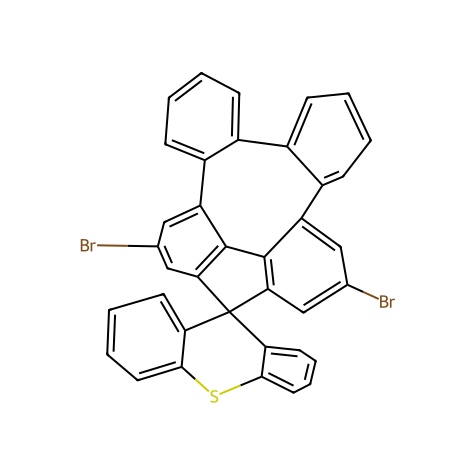 Brc1cc2c3c(c1)C1(c4ccccc4Sc4ccccc41)c1cc(Br)cc(c1-3)-c1ccccc1-c1ccccc1-2